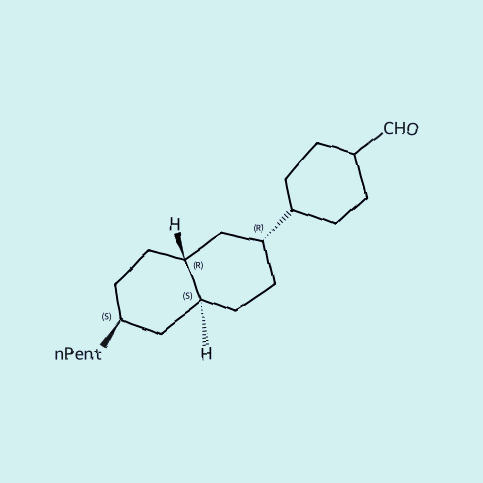 CCCCC[C@H]1CC[C@@H]2C[C@H](C3CCC(C=O)CC3)CC[C@H]2C1